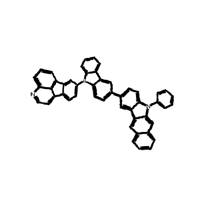 c1ccc(-n2c3ccc(-c4ccc5c(c4)c4ccccc4n5-c4ccc5c(c4)-c4cccc6nccc-5c46)cc3c3cc4ccccc4cc32)cc1